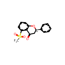 O=C1C[C@H](c2ccccc2)Oc2cccc(S(=O)(=O)C(F)(F)F)c21